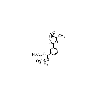 CC(OC(=O)c1cccc(C(=O)OC(C)C2(C)CO2)c1)C1(C)CO1